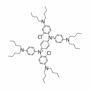 CCCCN(CCCC)c1ccc([N+](=C2C=CC(=[N+](c3ccc(N(CCCC)CCCC)cc3)c3ccc(N(CCCC)CCCC)cc3Cl)C=C2)c2ccc(N(CCCC)CCCC)cc2Cl)cc1